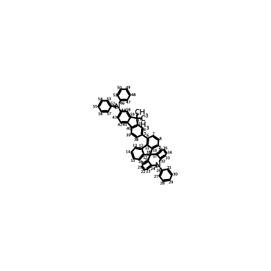 CC1(C)c2cc(-c3cccc4c3-c3ccccc3C43c4ccccc4N(c4ccccc4)c4ccccc43)ccc2-c2ccc(N(c3ccccc3)c3ccccc3)cc21